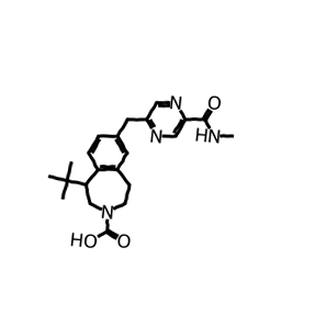 CNC(=O)c1cnc(Cc2ccc3c(c2)CCN(C(=O)O)CC3C(C)(C)C)cn1